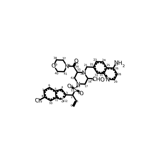 C=CC(c1cc2ccc(Cl)cc2s1)S(=O)(=O)N1CC(C=O)N(Cc2ccc3c(N)ccnc3c2)C(C(=O)N2CCOCC2)C1